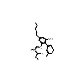 CCCCCc1cc(O)c(C2C=C(C)CCC2)c(OCN(C)C(=O)OC)c1